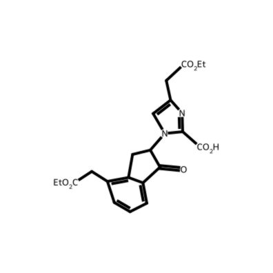 CCOC(=O)Cc1cn(C2Cc3c(CC(=O)OCC)cccc3C2=O)c(C(=O)O)n1